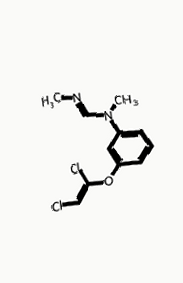 CN=CN(C)c1cccc(OC(Cl)=CCl)c1